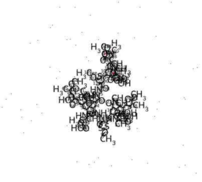 CCOC(=S)SC(CCC(CC(CCC(CCC(C)C(=O)OC)C(=O)O)C(=O)N(C)C)C(=O)NC(C)(C)CS(=O)(=O)O)C(=O)NCNC(=O)C(CC(CC(CCC(CCC(C)C(=O)OC)C(=O)O)C(=O)N(C)C)C(=O)NC(C)(C)CS(=O)(=O)O)CC(SC(=S)OCC)C(=O)NCNC(=O)C(CCC(CC(CCC(CC(C)C(=O)OC)C(=O)O)C(=O)N(C)C)C(=O)NC(C)(C)CS(=O)(=O)O)SC(=S)OCC